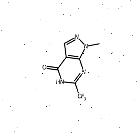 Cn1ncc2c(=O)[nH]c(C(F)(F)F)nc21